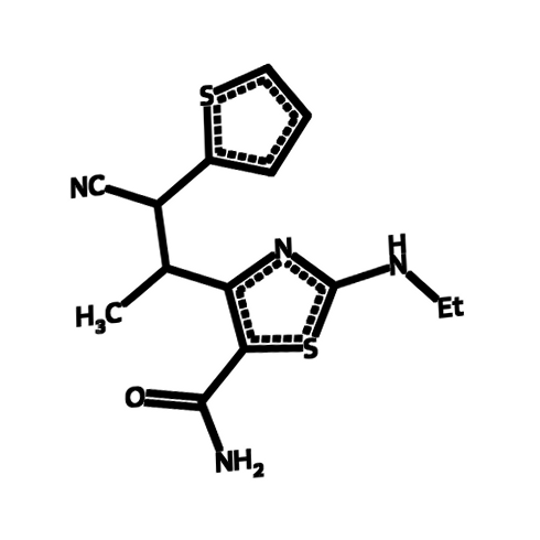 CCNc1nc(C(C)C(C#N)c2cccs2)c(C(N)=O)s1